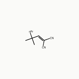 CCCC(C)(C)C=C(C#N)C#N